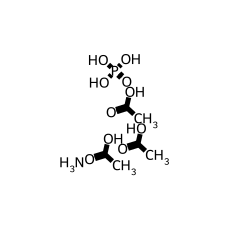 CC(=O)O.CC(=O)O.CC(=O)O.N.O=P(O)(O)O